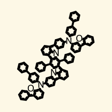 c1ccc(-c2ccc(N(c3ccc4c5cccc6c7c(-c8ccccc8)c8c(c(-c9ccccc9)c7n(c4c3)c56)c3cccc4c5ccc(N(c6ccc(-c7ccccc7)cc6)c6cccc7c6oc6ccccc67)cc5n8c43)c3cccc4c3oc3ccccc34)cc2)cc1